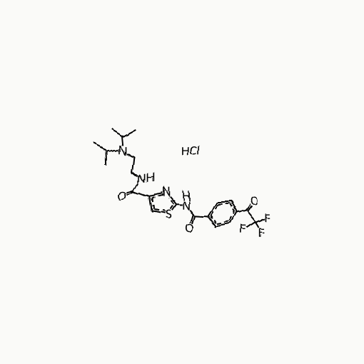 CC(C)N(CCNC(=O)c1csc(NC(=O)c2ccc(C(=O)C(F)(F)F)cc2)n1)C(C)C.Cl